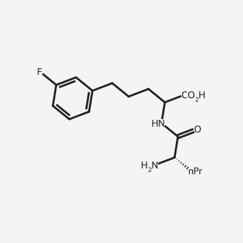 CCC[C@H](N)C(=O)NC(CCCc1cccc(F)c1)C(=O)O